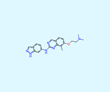 Cc1c(OCCN(C)C)ccc2cnc(Nc3ccc4cn[nH]c4c3)nc12